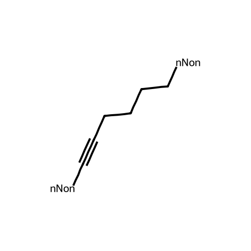 [CH2]CCCCCCCCC#CCCCCCCCCCCCC[CH2]